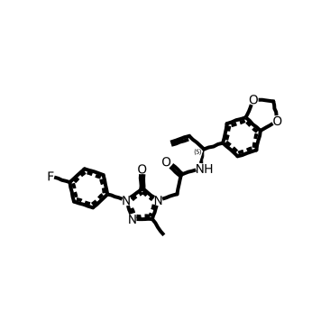 C=C[C@H](NC(=O)Cn1c(C)nn(-c2ccc(F)cc2)c1=O)c1ccc2c(c1)OCO2